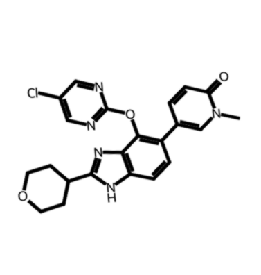 Cn1cc(-c2ccc3[nH]c(C4CCOCC4)nc3c2Oc2ncc(Cl)cn2)ccc1=O